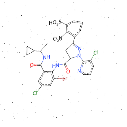 CC(NC(=O)c1cc(Cl)cc(Br)c1NC(=O)C1CC(c2cccc(S(=O)(=O)O)c2[N+](=O)[O-])=NN1c1ncccc1Cl)C1CC1